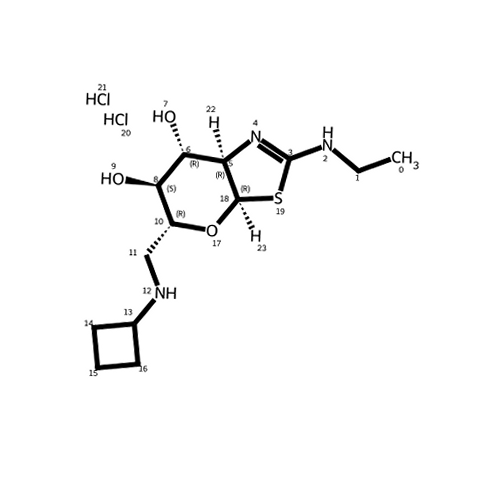 CCNC1=N[C@@H]2[C@@H](O)[C@H](O)[C@@H](CNC3CCC3)O[C@@H]2S1.Cl.Cl